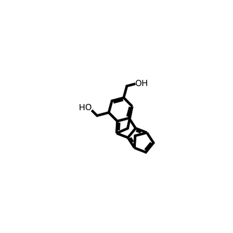 OCC1=CC(CO)C2=C3CC1=C2C1=C2C=CC(=C31)C2